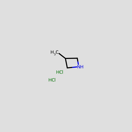 CC1CNC1.Cl.Cl